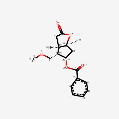 COC[C@@H]1[C@H]2CC(=O)O[C@H]2C[C@H]1OC(=O)c1ccccc1